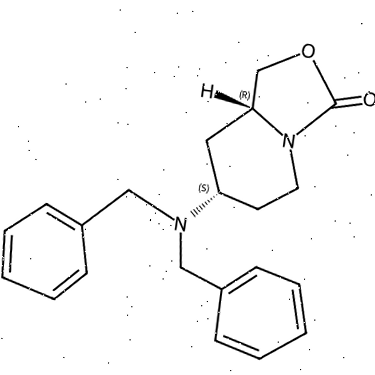 O=C1OC[C@H]2C[C@@H](N(Cc3ccccc3)Cc3ccccc3)CCN12